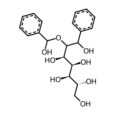 OC[C@@H](O)[C@@H](O)[C@H](O)[C@@H](O)C(OC(O)c1ccccc1)C(O)c1ccccc1